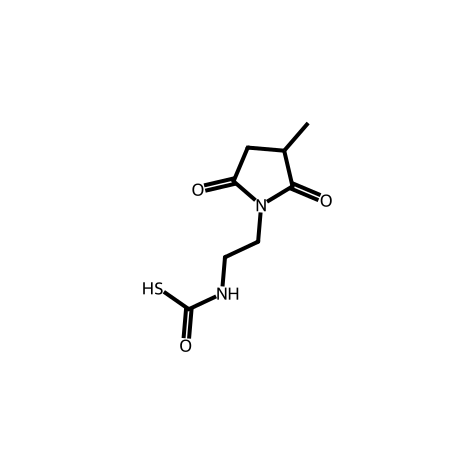 CC1CC(=O)N(CCNC(=O)S)C1=O